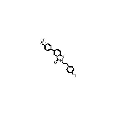 O=c1n(CCc2ccc(Cl)cc2)nc2ccc(-c3ccc(OC(F)(F)F)cc3)cn12